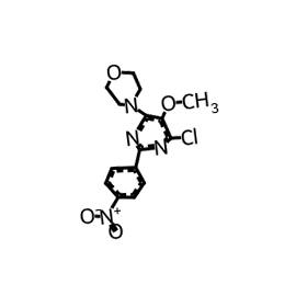 COc1c(Cl)nc(-c2ccc([N+](=O)[O-])cc2)nc1N1CCOCC1